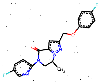 CC1CN(c2ccc(F)cn2)C(=O)c2cc(COc3ccc(F)cc3)nn21